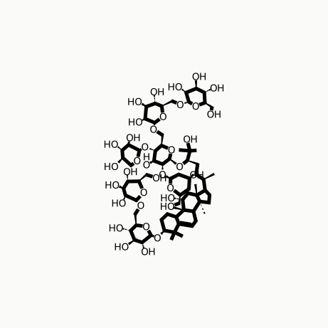 C[C@H](CC[C@@H](O[C@@H]1O[C@H](CO[C@H]2O[C@H](CO[C@H]3O[C@H](CO)[C@@H](O)[C@H](O)[C@H]3O)[C@@H](O)[C@H](O)[C@H]2O)[C@@H](O[C@H]2OC[C@@H](O)[C@H](O)[C@H]2O)[C@H](O)[C@H]1O[C@H]1C[C@@H](O)C[C@@H](CO)O1)C(C)(C)O)C1CC[C@@]2(C)C3CC=C4C(CC[C@H](O[C@@H]5O[C@H](CO[C@H]6O[C@H](CO)[C@@H](O)[C@H](O)[C@H]6O)[C@@H](O)[C@H](O)[C@H]5O)C4(C)C)[C@]3(C)[C@H](O)C[C@]12C